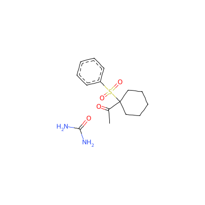 CC(=O)C1(S(=O)(=O)c2ccccc2)CCCCC1.NC(N)=O